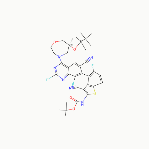 CC(C)(C)OC(=O)Nc1sc2ccc(F)c(-c3c(C#N)cc4c(N5CCOC[C@@](C)(O[Si](C)(C)C(C)(C)C)C5)nc(F)nc4c3F)c2c1C#N